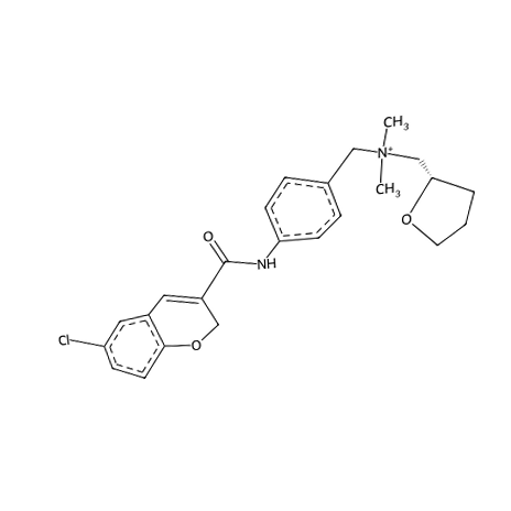 C[N+](C)(Cc1ccc(NC(=O)C2=Cc3cc(Cl)ccc3OC2)cc1)C[C@@H]1CCCO1